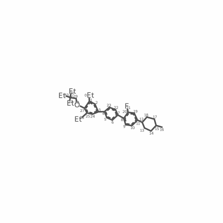 CCc1cc(-c2ccc(-c3ccc(C4CCC(C)CC4)cc3F)cc2)cc(CC)c1OCC(CC)(CC)CC